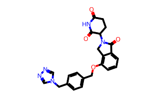 O=C1CCC(N2Cc3c(OCc4ccc(Cn5cnnc5)cc4)cccc3C2=O)C(=O)N1